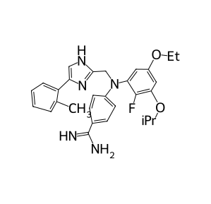 CCOc1cc(OC(C)C)c(F)c(N(Cc2nc(-c3ccccc3C)c[nH]2)c2ccc(C(=N)N)cc2)c1